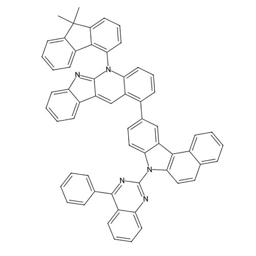 CC1(C)c2ccccc2-c2c(-n3c4nc5ccccc5c-4cc4c(-c5ccc6c(c5)c5c7ccccc7ccc5n6-c5nc(-c6ccccc6)c6ccccc6n5)cccc43)cccc21